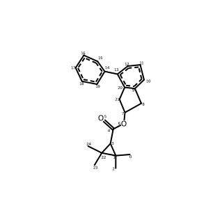 CC1(C)C(C(=O)OC2Cc3cccc(-c4ccccc4)c3C2)C1(C)C